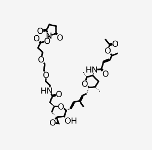 CC(=O)OC(C)C=CC(=O)N[C@@H]1C[C@H](C)[C@H](C/C=C(C)/C=C/[C@H]2O[C@H](CC(=O)NCCOCCOCCC(=O)ON3C(=O)CCC3=O)C[C@@]3(CO3)[C@@H]2O)O[C@@H]1C